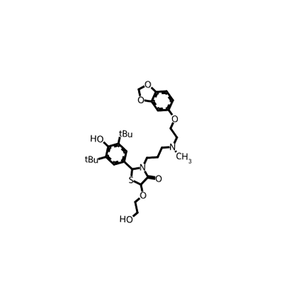 CN(CCCN1C(=O)C(OCCO)SC1c1cc(C(C)(C)C)c(O)c(C(C)(C)C)c1)CCOc1ccc2c(c1)OCO2